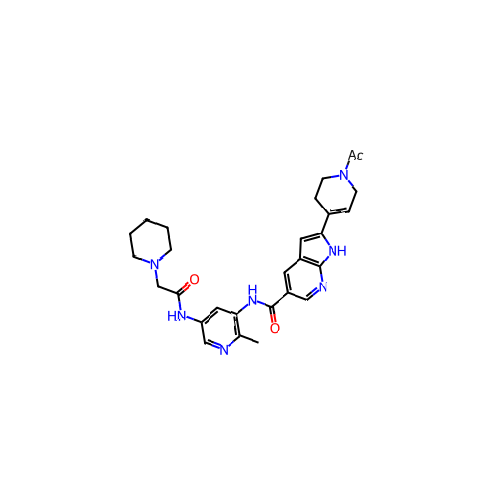 CC(=O)N1CC=C(c2cc3cc(C(=O)Nc4cc(NC(=O)CN5CCCCC5)cnc4C)cnc3[nH]2)CC1